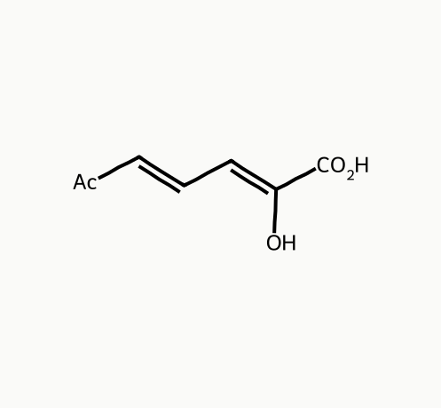 CC(=O)C=CC=C(O)C(=O)O